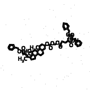 CC(CCC(=O)OCc1ccccc1)C1CCC2C3CCC4C[C@H](OC(=O)OCOC(=O)CCC(CP(=O)(OCc5ccccc5)OCc5ccccc5)C(=O)O)CC[C@]4(C)C3C[C@H](O)[C@]12C